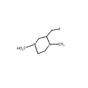 CN1CCN(C(=O)O)CC1CF